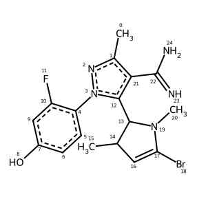 Cc1nn(-c2ccc(O)cc2F)c(C2C(C)C=C(Br)N2C)c1C(=N)N